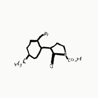 CC1CCC(C(C)C)C(C2CCN(C(=O)O)C2=O)C1